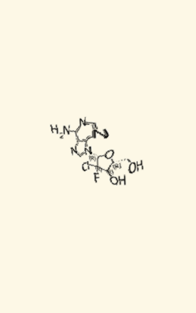 Nc1ncnc2c1ncn2[C@@H]1O[C@H](CO)[C@@H](O)[C@@]1(F)Cl